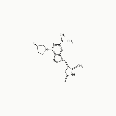 C=C1NC(=O)C/C1=C\c1cnn2c(N3CC[C@@H](F)C3)nc(N(C)C)nc12